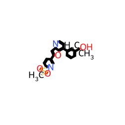 CC(C)(O)c1cccc(-c2ccnc3cc(-c4ccc(S(C)(=O)=O)nc4)oc23)c1